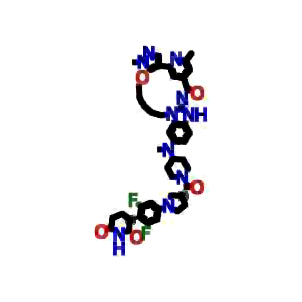 Cc1cc2cc(n1)-c1cnn(C)c1OCCCCCN1/C(=N/C2=O)Nc2ccc(N(C)C3CCN(C(=O)[C@@H]4CCN(c5cc(F)c([C@H]6CCC(=O)NC6=O)c(F)c5)C4)CC3)cc21